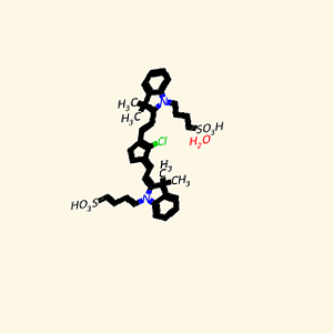 CC1(C)C(=CC=C2CCC(C=CC3N(CCCCS(=O)(=O)O)c4ccccc4C3(C)C)=C2Cl)N(CCCCS(=O)(=O)O)c2ccccc21.O